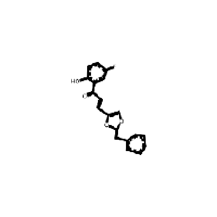 O=C(C=CC1=COC(Cc2ccccc2)O1)c1cc(F)ccc1O